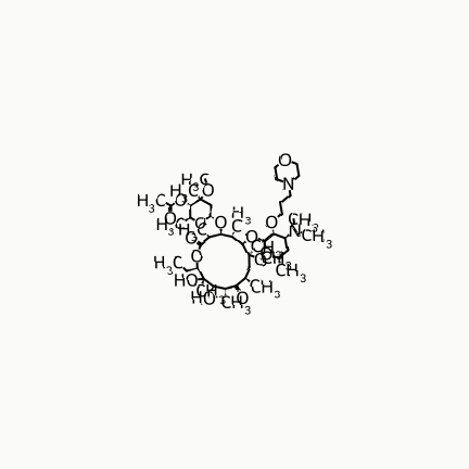 CC[C@H]1OC(=O)[C@H](C)[C@@H](O[C@H]2C[C@@](C)(OC)[C@@H](OC(C)=O)[C@H](C)O2)[C@H](C)[C@@H](O[C@@H]2O[C@H](C)C[C@H](N(C)C)[C@H]2OCCCN2CCOCC2)[C@@](C)(OC)C[C@@H](C)C(=O)[C@H](C)[C@@H](O)[C@]1(C)O